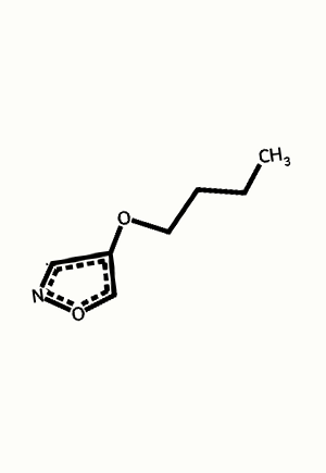 CCCCOc1[c]noc1